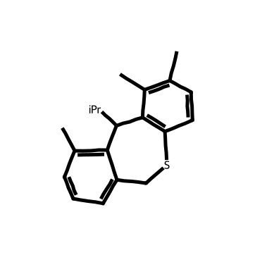 Cc1ccc2c(c1C)C(C(C)C)c1c(C)cccc1CS2